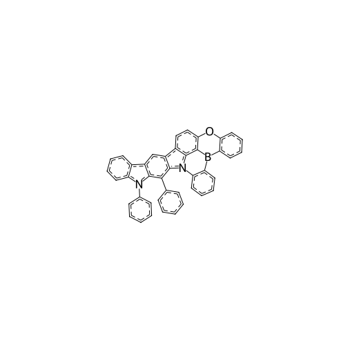 c1ccc(-c2c3c(cc4c5ccc6c7c5n(c24)-c2ccccc2B7c2ccccc2O6)c2ccccc2n3-c2ccccc2)cc1